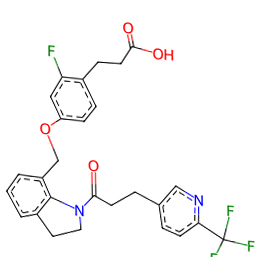 O=C(O)CCc1ccc(OCc2cccc3c2N(C(=O)CCc2ccc(C(F)(F)F)nc2)CC3)cc1F